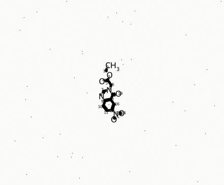 CCOC(=O)Cn1cnc2ccc([N+](=O)[O-])cc2c1=O